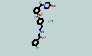 Cl.O=C(c1cccc(S(=O)(=O)c2ccc(CCNC[C@@H](O)c3cccc(Cl)c3)cc2)c1)N1CCC(O)CC1